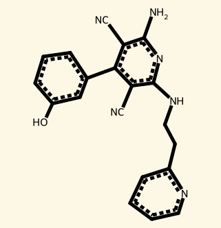 N#Cc1c(N)nc(NCCc2ccccn2)c(C#N)c1-c1cccc(O)c1